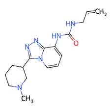 C=CCNC(=O)Nc1cccn2c(C3CCCN(C)C3)nnc12